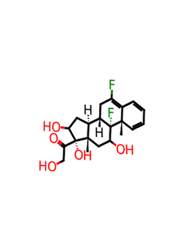 C[C@]12C=CC=CC1=C(F)C[C@H]1[C@@H]3CC(O)[C@](O)(C(=O)CO)[C@@]3(C)CC(O)[C@@]12F